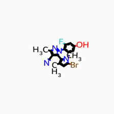 Cc1cc(Br)n(C)c1-c1c(C#N)c(C)nn1-c1ccc(O)cc1F